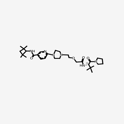 CC1(C)CC(C)(C)C1NC(=O)c1ccc(N2CCN(CCOCC(=O)N[C@H](C(=O)N3CCCC3)C(C)(C)C)CC2)nc1